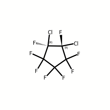 FC1(F)C(F)(F)[C@@](F)(Cl)[C@](F)(Cl)C1(F)F